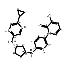 O=c1c(Cl)cccn1-c1ccc(N[C@H]2CC[C@H](Nc3cnc(C4CC4)cn3)C2)nc1